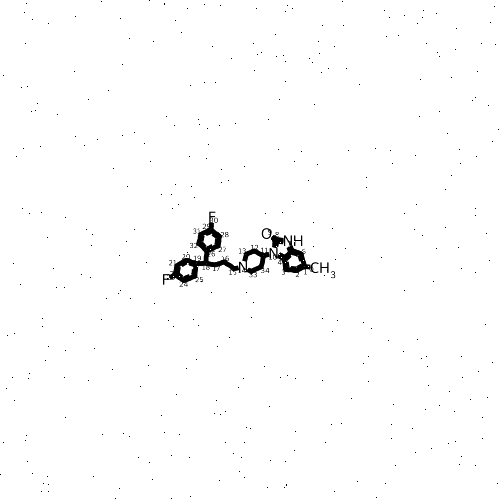 Cc1ccc2c(c1)[nH]c(=O)n2C1CCN(CCCC(c2ccc(F)cc2)c2ccc(F)cc2)CC1